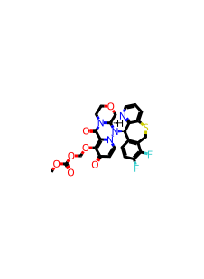 COC(=O)OCOc1c2n(ccc1=O)N([C@@H]1c3ccc(F)c(F)c3CSc3cccnc31)[C@@H]1COCCN1C2=O